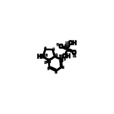 C1=CN2NCCC2N=C1.O=S(=O)(O)O